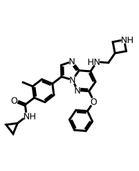 Cc1cc(-c2cnc3c(NCC4CNC4)cc(Oc4ccccc4)nn23)ccc1C(=O)NC1CC1